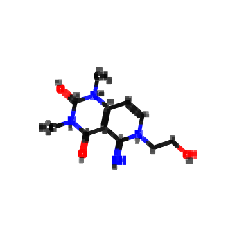 Cn1c(=O)c2c(=N)n(CCO)ccc2n(C)c1=O